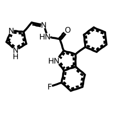 O=C(N/N=C\c1c[nH]cn1)c1[nH]c2c(F)cccc2c1-c1ccccc1